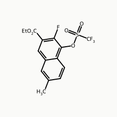 CCOC(=O)c1cc2cc(C)ccc2c(OS(=O)(=O)C(F)(F)F)c1F